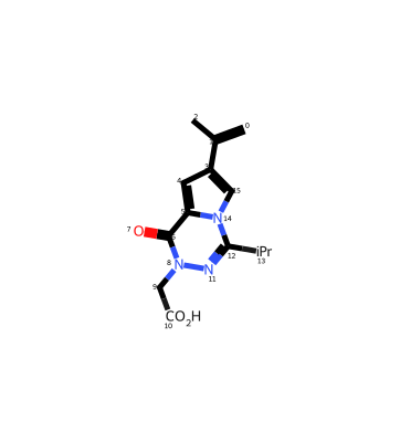 C=C(C)c1cc2c(=O)n(CC(=O)O)nc(C(C)C)n2c1